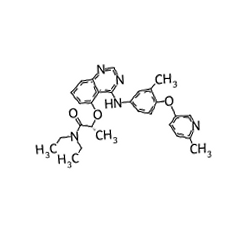 CCN(CC)C(=O)[C@@H](C)Oc1cccc2ncnc(Nc3ccc(Oc4ccc(C)nc4)c(C)c3)c12